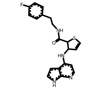 O=C(NCCc1ccc(F)cc1)C1SC=CC1Nc1ccnc2[nH]ccc12